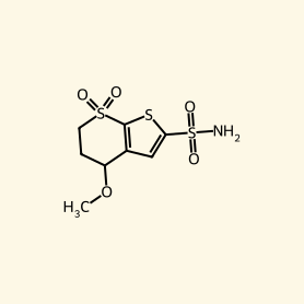 COC1CCS(=O)(=O)c2sc(S(N)(=O)=O)cc21